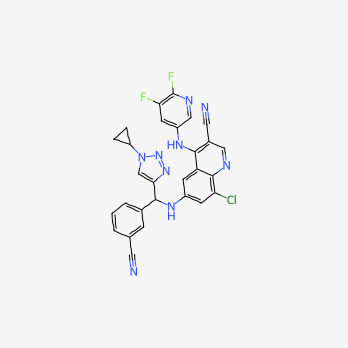 N#Cc1cccc(C(Nc2cc(Cl)c3ncc(C#N)c(Nc4cnc(F)c(F)c4)c3c2)c2cn(C3CC3)nn2)c1